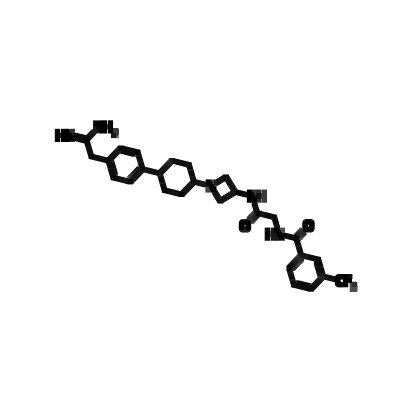 N=C(N)Cc1ccc(C2CCC(N3CC(NC(=O)CNC(=O)c4cccc(C(F)(F)F)c4)C3)CC2)cc1